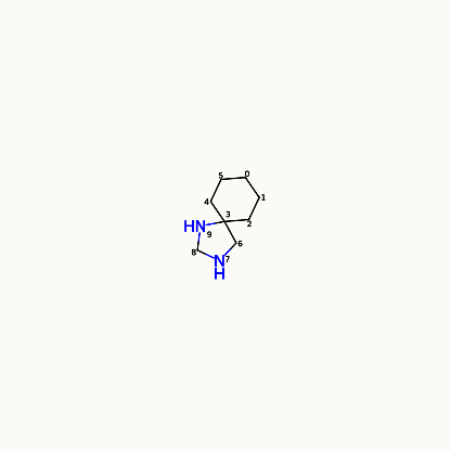 C1CCC2(CC1)CNCN2